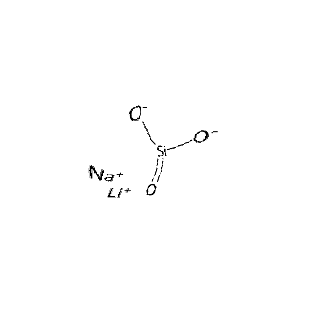 O=[Si]([O-])[O-].[Li+].[Na+]